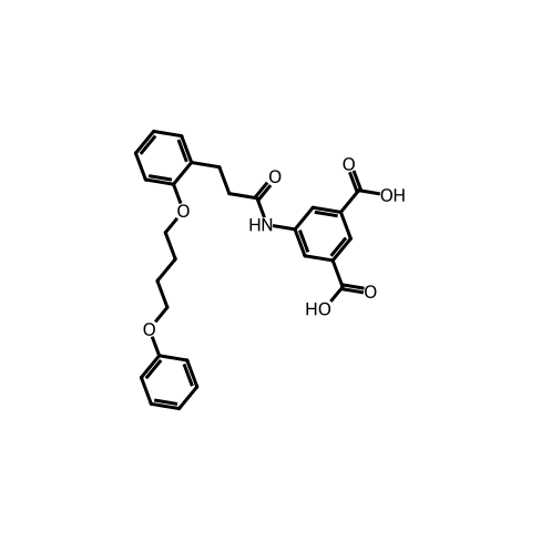 O=C(CCc1ccccc1OCCCCOc1ccccc1)Nc1cc(C(=O)O)cc(C(=O)O)c1